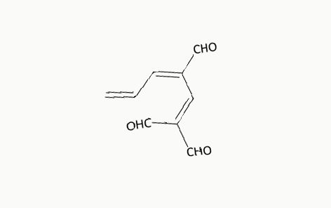 C=CC=C(C=O)C=C(C=O)C=O